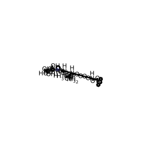 CC(C)C(NC(=O)[C@@H](CCCCNC(=O)COC1CCCCC/C(N[C@H]2C[C@H](CO)[C@@H](O[C@H]3C[C@H](CO)[C@@H](O)[C@H](O)C3)[C@H](O)C2)=C\1N)NC(=O)CCOCCOCCOCCOCCNC(=O)CCC(=O)N1Cc2ccccc2C#Cc2ccccc21)C(N)=O